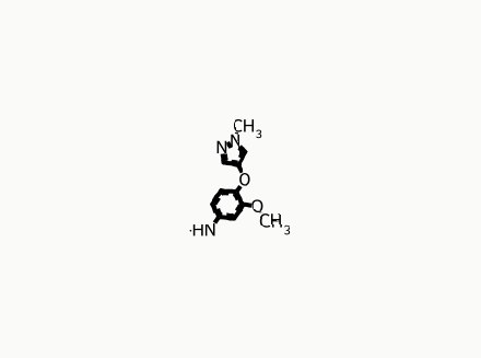 COc1cc([NH])ccc1Oc1cnn(C)c1